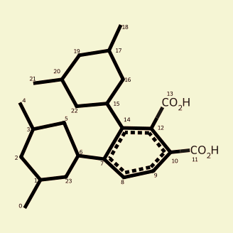 CC1CC(C)CC(c2ccc(C(=O)O)c(C(=O)O)c2C2CC(C)CC(C)C2)C1